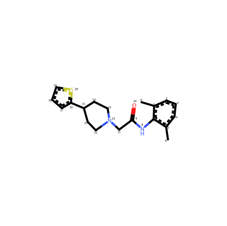 Cc1cccc(C)c1NC(=O)CN1CCC(c2cccs2)CC1